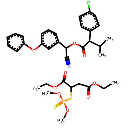 CC(C)C(C(=O)OC(C#N)c1cccc(Oc2ccccc2)c1)c1ccc(Cl)cc1.CCOC(=O)CC(SP(=S)(OC)OC)C(=O)OCC